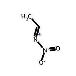 [CH2]/C=N/[N+](=O)[O-]